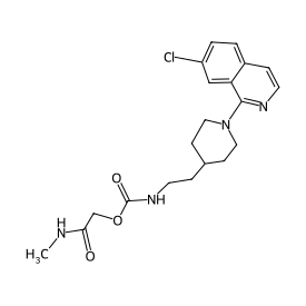 CNC(=O)COC(=O)NCCC1CCN(c2nccc3ccc(Cl)cc23)CC1